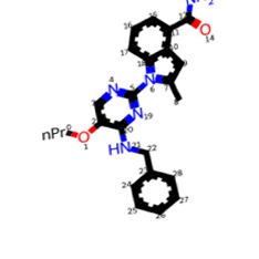 CCCOc1cnc(-n2c(C)cc3c(C(N)=O)cccc32)nc1NCc1ccccc1